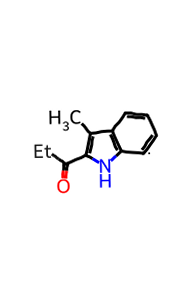 CCC(=O)c1[nH]c2[c]cccc2c1C